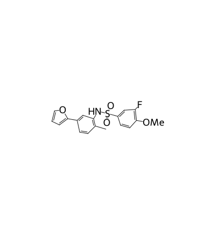 COc1ccc(S(=O)(=O)Nc2cc(-c3ccco3)ccc2C)cc1F